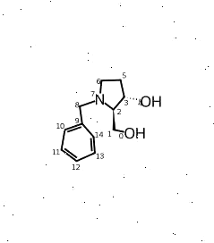 OC[C@@H]1[C@@H](O)CCN1Cc1ccccc1